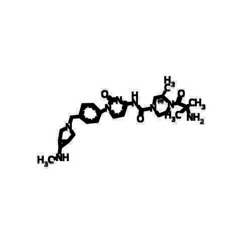 CNC1C2CN(Cc3ccc(-n4ccc(NC(=O)N5CCN(C(=O)C(C)(C)N)[C@H](C)C5)nc4=O)cc3)CC21